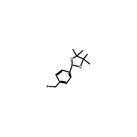 CC1(C)OB(c2ccc(CF)cc2)OC1(C)C